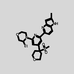 CCC1COCCN1c1cc(C2(S(C)(=O)=O)CCOCC2)cc(-c2ccc3[nH]c(C)cc3n2)n1